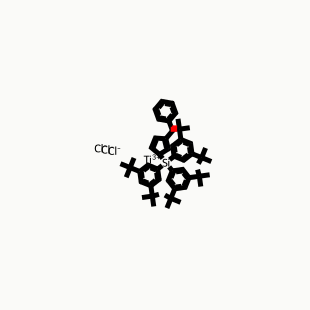 CC(C)(C)c1cc(C(C)(C)C)cc([Si](c2cc(C(C)(C)C)cc(C(C)(C)C)c2)(c2cc(C(C)(C)C)cc(C(C)(C)C)c2)[C]2([Ti+3])C=CC(Cc3ccccc3)=C2)c1.[Cl-].[Cl-].[Cl-]